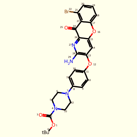 CC(C)(C)OC(=O)N1CCN(c2ccc(Oc3cc4oc5cccc(Br)c5c(=O)c4nc3N)cc2)CC1